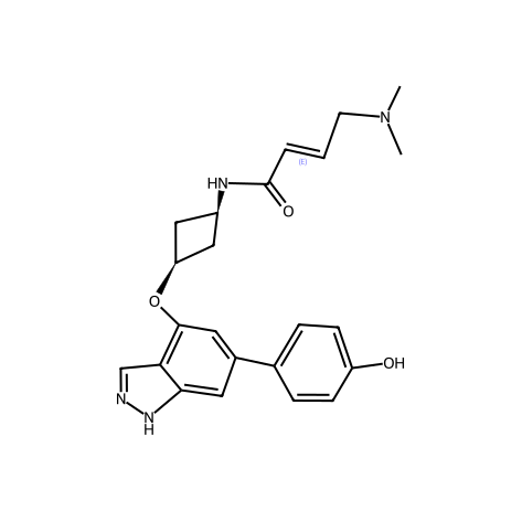 CN(C)C/C=C/C(=O)N[C@H]1C[C@@H](Oc2cc(-c3ccc(O)cc3)cc3[nH]ncc23)C1